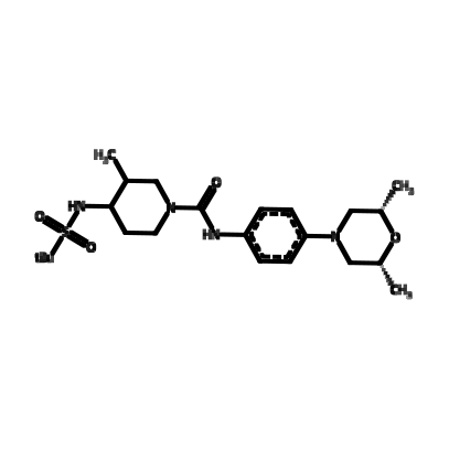 CC1CN(C(=O)Nc2ccc(N3C[C@@H](C)O[C@@H](C)C3)cc2)CCC1NS(=O)(=O)C(C)(C)C